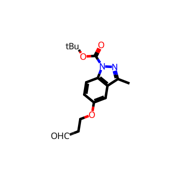 Cc1nn(C(=O)OC(C)(C)C)c2ccc(OCCC=O)cc12